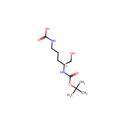 CC(C)(C)OC(=O)N[C@H](CO)CCCNC(=O)O